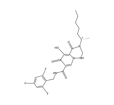 CCCCC[C@H](C)N1CNn2cc(C(=O)NCc3c(F)cc(F)cc3F)c(=O)c(O)c2C1=O